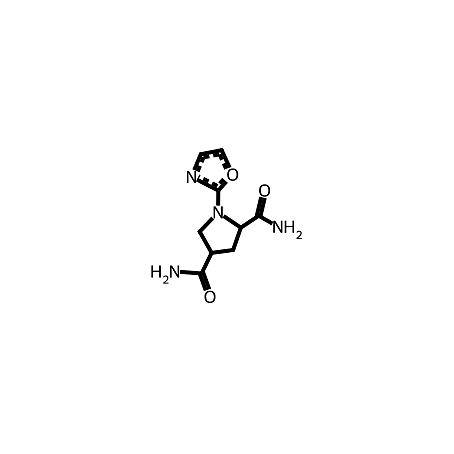 NC(=O)C1CC(C(N)=O)N(c2ncco2)C1